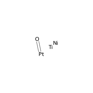 [Ni].[O]=[Pt].[Ti]